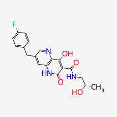 C[C@H](O)CNC(=O)c1c(O)c2ncc(Cc3ccc(F)cc3)cc2[nH]c1=O